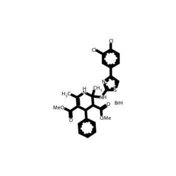 Br.COC(=O)C1=C(C)NC(C)(Nc2nc(-c3ccc(Cl)c(Cl)c3)cs2)C(C(=O)OC)C1c1ccccc1